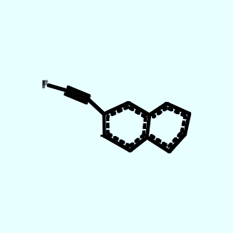 FC#Cc1[c]cc2ccccc2c1